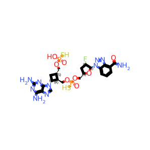 NC(=O)c1cccc2c1nnn2[C@@H]1O[C@H](COP(=O)(S)OC[C@@H]2[C@@H](COP(=O)(O)S)C[C@H]2n2cnc3c(N)nc(N)nc32)C[C@@H]1F